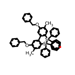 Cc1cc2c(cc1OCc1ccccc1)-c1cc(OCc3ccccc3)c(C)cc1[Si](c1ccccc1)(c1ccccc1)[Si]2(c1ccccc1)c1ccccc1